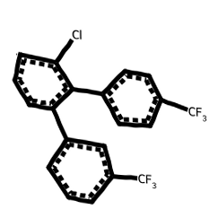 FC(F)(F)c1ccc(-c2c(Cl)[c]ccc2-c2cccc(C(F)(F)F)c2)cc1